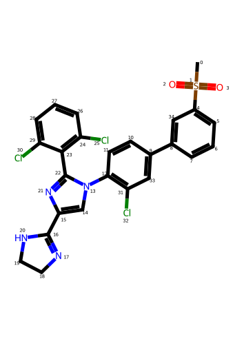 CS(=O)(=O)c1cccc(-c2ccc(-n3cc(C4=NCCN4)nc3-c3c(Cl)cccc3Cl)c(Cl)c2)c1